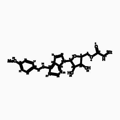 CCNC(=O)OCC1OC(n2cnc3c(SCc4ccc(OC)cc4)ncnc32)C(O)C1O